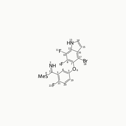 CSC(=N)c1cc(Oc2c(F)c(F)c3[nH]ccc3c2Br)ccc1F